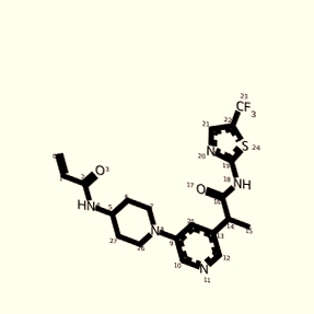 C=CC(=O)NC1CCN(c2cncc(C(C)C(=O)Nc3ncc(C(F)(F)F)s3)c2)CC1